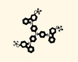 C[Si](C)(C)OC1C=c2c(n(-c3ccc(N(c4ccc(-n5c6c(c7ccccc75)CC(O[Si](C)(C)C)C=C6)cc4)c4ccc(-n5c6c(c7ccccc75)CC(O[Si](C)(C)C)C=C6)cc4)cc3)c3ccccc23)=CC1